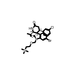 C=C(C)[C@H]1NC(=O)C[C@@H](c2cccc(Cl)c2)[C@]12C(=O)N(COCC[Si](C)(C)C)c1cc(Br)ccc12